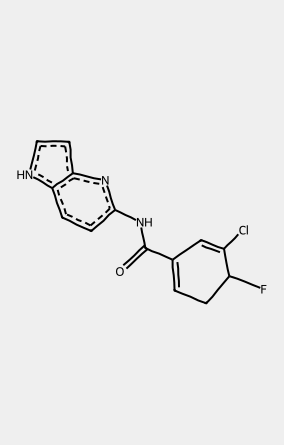 O=C(Nc1ccc2[nH]ccc2n1)C1=CCC(F)C(Cl)=C1